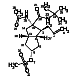 C=CC[C@H]1[C@@H]2C[C@H](OS(C)(=O)=O)C[C@@H]2C[C@@]1(NC(C)=O)C(=O)NC(C)(C)C